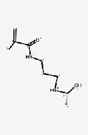 C=C(C)C(=O)NCCCN[C@@H](C)O